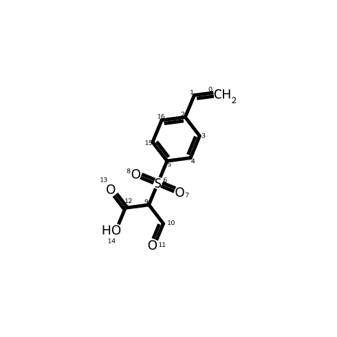 C=Cc1ccc(S(=O)(=O)C(C=O)C(=O)O)cc1